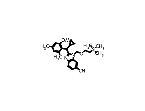 COc1cc(C)cc(C)c1C(c1nc2ccc(C#N)cc2n1COCC[Si](C)(C)C)C1CC1